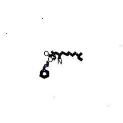 C=CC(C)CCC=CCC(C#N)CC(C)(CC)C(=O)OC/C=C/c1ccccc1